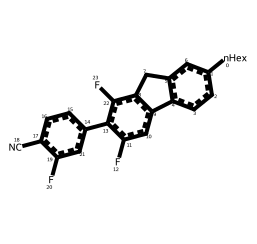 CCCCCCc1ccc2c(c1)Cc1c-2cc(F)c(-c2ccc(C#N)c(F)c2)c1F